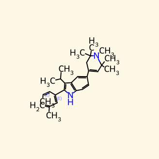 C=C(C)/C=C(\C=C/C)c1[nH]c2ccc(C3=CC(C)(C)N(C)C(C)(C)C3)cc2c1C(C)C